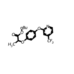 CCCCOC(=O)C(C)Oc1ccc(Oc2cc(C(F)(F)F)ccn2)cc1